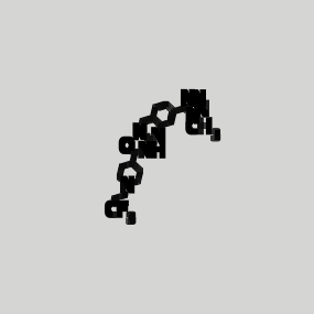 Cn1nnnc1-c1ccc2cnc(NC(=O)C3CCN(CCC(F)(F)F)CC3)nc2c1